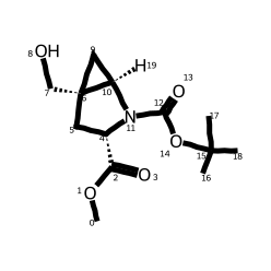 COC(=O)[C@@H]1C[C@@]2(CO)C[C@H]2N1C(=O)OC(C)(C)C